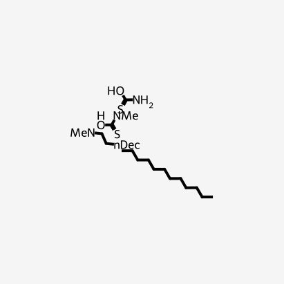 CCCCCCCCCCCC.CCCCCCCCCCCCNC.CNC(O)=S.NC(O)=S